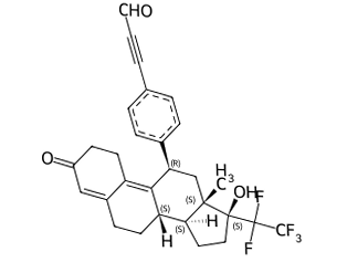 C[C@]12C[C@H](c3ccc(C#CC=O)cc3)C3=C4CCC(=O)C=C4CC[C@H]3[C@@H]1CC[C@@]2(O)C(F)(F)C(F)(F)F